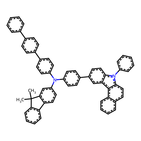 CC1(C)c2ccccc2-c2ccc(N(c3ccc(-c4ccc(-c5ccccc5)cc4)cc3)c3ccc(-c4ccc5c(c4)c4c6ccccc6ccc4n5-c4ccccc4)cc3)cc21